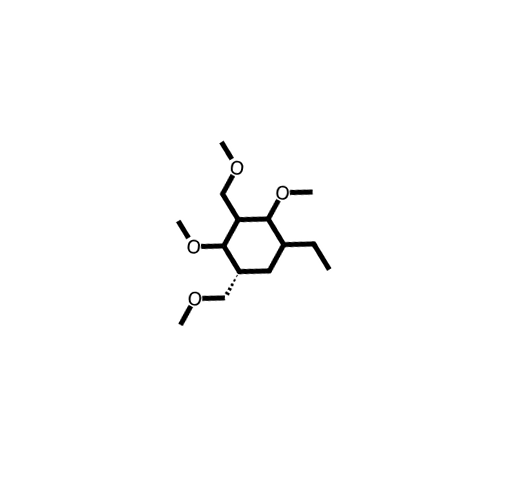 CCC1C[C@H](COC)C(OC)C(COC)C1OC